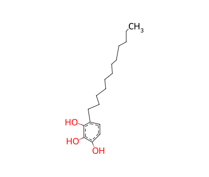 CCCCCCCCCCCCc1ccc(O)c(O)c1O